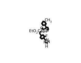 CCOC(=O)C(Cc1ccc(-c2nn[nH]n2)c(F)c1)NC(=O)c1occc1-c1cccc(C)c1